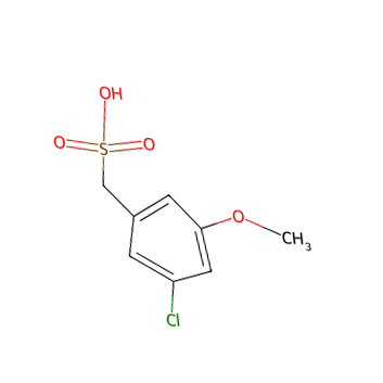 COc1cc(Cl)cc(CS(=O)(=O)O)c1